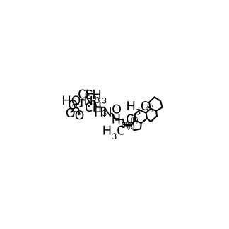 C[C@H](CCC(=O)NCCC[N+](C)(C)C(C)(O)CS(=O)(=O)[O-])[C@H]1CCC2C3CCC4CCCC[C@]4(C)C3CC[C@@]21C